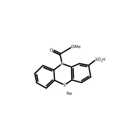 COC(=O)N1c2ccccc2Sc2ccc(S(=O)(=O)O)cc21.[Na]